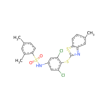 Cc1ccc(S(=O)(=O)Nc2cc(Cl)c(Sc3nc4cc(C)ccc4s3)c(Cl)c2)c(C)c1